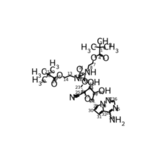 CC(C)(C)C(=O)OCCNP(=O)(NCCOC(=O)C(C)(C)C)OC[C@@]1(C#N)O[C@@H](c2ccc3c(N)ncnn23)[C@H](O)[C@@H]1O